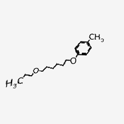 CCCOCCCCCCOc1ccc(C)cc1